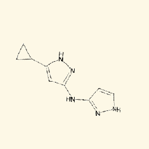 c1cc(Nc2cc(C3CC3)[nH]n2)n[nH]1